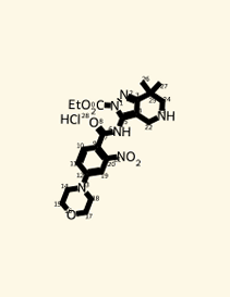 CCOC(=O)n1nc2c(c1NC(=O)c1ccc(N3CCOCC3)cc1[N+](=O)[O-])CNCC2(C)C.Cl